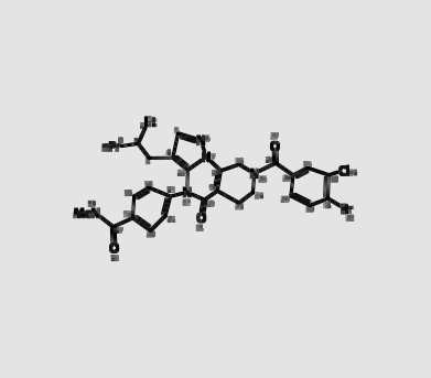 CCCC(CC)Cc1cnn2c3c(c(=O)n(-c4ccc(C(=O)NC)cc4)c12)CCN(C(=O)c1ccc(Br)c(Cl)c1)C3